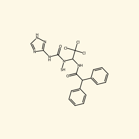 O=C(NC(N(S)C(=O)Nc1nc[nH]n1)C(Cl)(Cl)Cl)C(c1ccccc1)c1ccccc1